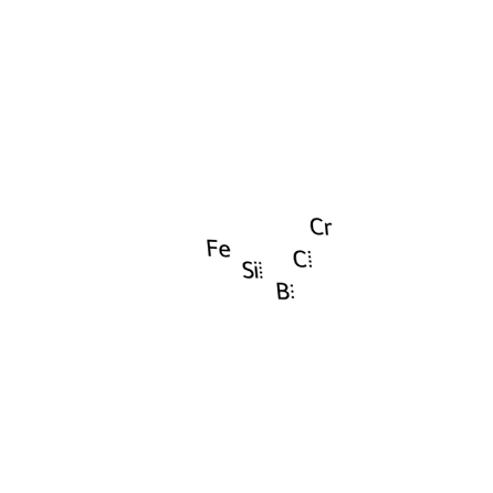 [B].[C].[Cr].[Fe].[Si]